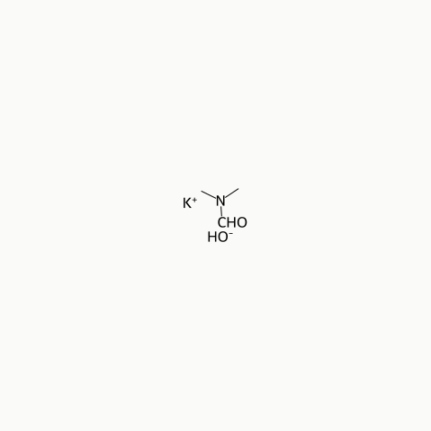 CN(C)C=O.[K+].[OH-]